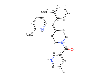 COc1cccc(C(=C2CCN(C(=O)c3cncc(C)c3)CC2)c2ccccc2OC)n1